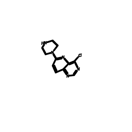 Clc1ncnc2ccc(N3CCNCC3)nc12